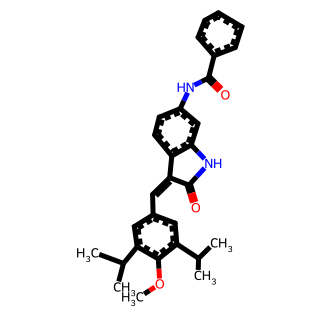 COc1c(C(C)C)cc(C=C2C(=O)Nc3cc(NC(=O)c4ccccc4)ccc32)cc1C(C)C